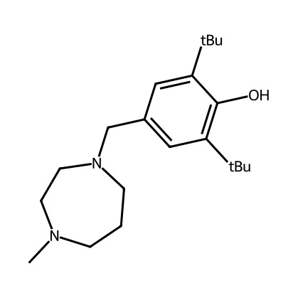 CN1CCCN(Cc2cc(C(C)(C)C)c(O)c(C(C)(C)C)c2)CC1